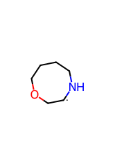 [CH]1COCCCCN1